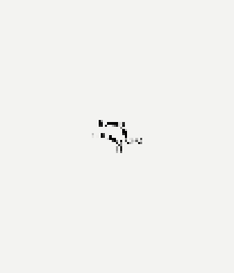 CCOC=O.O=CO